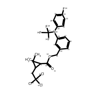 CC1(C)C(CC(Cl)(Cl)Cl)C1C(=O)OCc1cccc(N(c2ccc(F)cc2)C(F)(F)F)c1